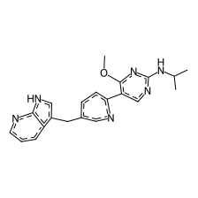 COc1nc(NC(C)C)ncc1-c1ccc(Cc2c[nH]c3ncccc23)cn1